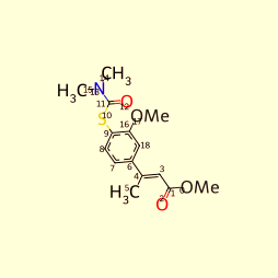 COC(=O)C=C(C)c1ccc(SC(=O)N(C)C)c(OC)c1